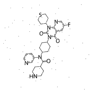 O=C(C1CCNCC1)N(c1cccnc1)C1CCC(n2c(=O)c3cc(F)cnc3n(C3CCSCC3)c2=O)CC1